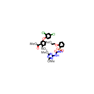 COC(=O)c1cc(Oc2ccc(Cl)cc2Cl)ccc1[N+](=O)[O-].COCCOc1ccccc1S(=O)(=O)NC(=O)Nc1nc(OC)nc(OC)n1